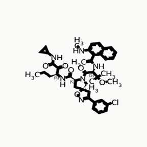 C=C(N[C@H](C(=O)N1C[C@@]2(CC(c3cccc(Cl)c3)=NO2)C[C@H]1C(=O)N[C@@H](CCC)C(=O)C(=O)NC1CC1)C(C)(C)OC)c1c(NC)ccc2ccccc12